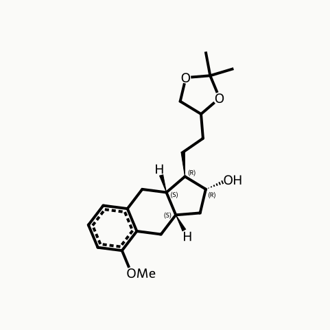 COc1cccc2c1C[C@H]1C[C@@H](O)[C@H](CCC3COC(C)(C)O3)[C@H]1C2